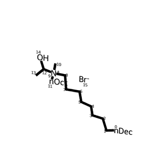 CCCCCCCCCCCCCCCCCC[N+](C)(CCCCCCCC)C(C)O.[Br-]